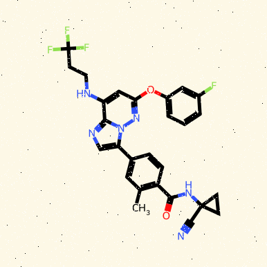 Cc1cc(-c2cnc3c(NCCC(F)(F)F)cc(Oc4cccc(F)c4)nn23)ccc1C(=O)NC1(C#N)CC1